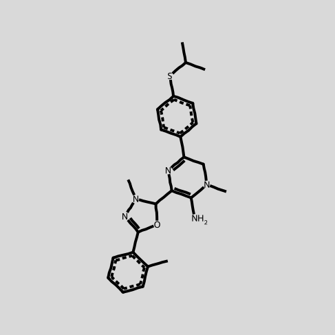 Cc1ccccc1C1=NN(C)C(C2=C(N)N(C)CC(c3ccc(SC(C)C)cc3)=N2)O1